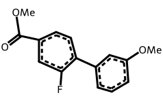 COC(=O)c1ccc(-c2cccc(OC)c2)c(F)c1